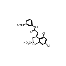 CC(=O)Nc1cccc(NC(=O)/C=C2\CC(C(=O)O)Nc3cc(Cl)cc(Cl)c32)c1